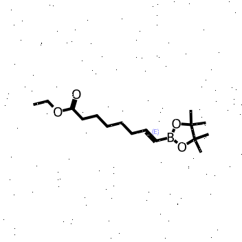 CCOC(=O)CCCCC/C=C/B1OC(C)(C)C(C)(C)O1